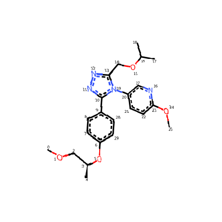 COC[C@H](C)Oc1ccc(-c2nnc(COC(C)C)n2-c2ccc(OC)nc2)cc1